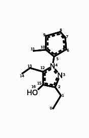 CCc1nn(-c2ccccc2C)c(CC)c1O